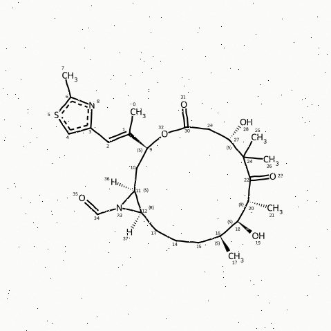 CC(=Cc1csc(C)n1)[C@@H]1C[C@H]2[C@@H](CCC[C@H](C)[C@H](O)[C@@H](C)C(=O)C(C)(C)[C@@H](O)CC(=O)O1)N2C=O